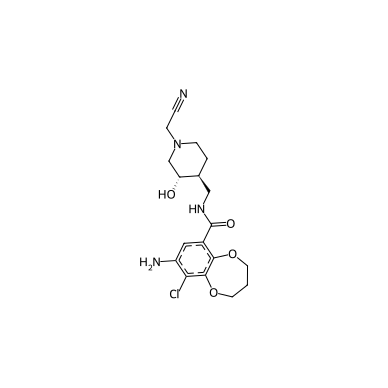 N#CCN1CC[C@@H](CNC(=O)c2cc(N)c(Cl)c3c2OCCCO3)[C@H](O)C1